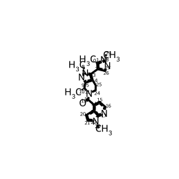 Cc1c(-c2c3c(nn2C)[C@H](C)N(C(=O)c2ccnc4c2ccn4C)CC3)cnn1C